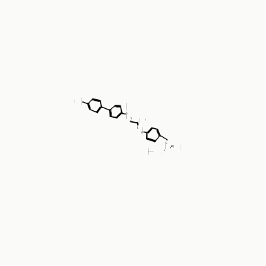 CN(C)Cc1ccc(NC(=O)CNc2ccc(-c3ccc(Cl)cc3)cc2)cc1